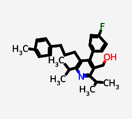 Cc1ccc(CCCc2c(C(C)C)nc(C(C)C)c(CO)c2-c2ccc(F)cc2)cc1